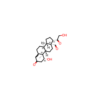 C[C@@]12C(=CC(=O)C[C@H]1O)CC[C@H]1[C@@H]3CC[C@H](C(=O)CO)[C@@]3(C=O)CC[C@@H]12